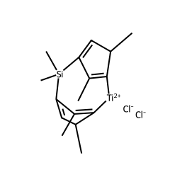 CC1=[C]2[Ti+2][C]3=C(C)C(=CC3C)[Si](C)(C)C1=CC2C.[Cl-].[Cl-]